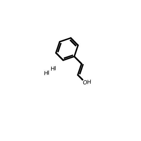 I.I.OC=Cc1ccccc1